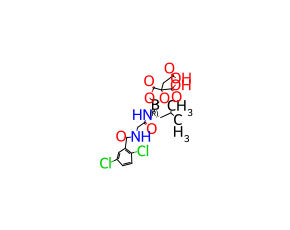 CC(C)C[C@H](NC(=O)CNC(=O)c1cc(Cl)ccc1Cl)B1OC(=O)C(CC(=O)O)(C(=O)O)O1